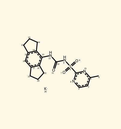 Cc1ccnc(S(=O)(=O)NC(=O)Nc2c3c(cc4c2CCC4)CCC3)n1.[K]